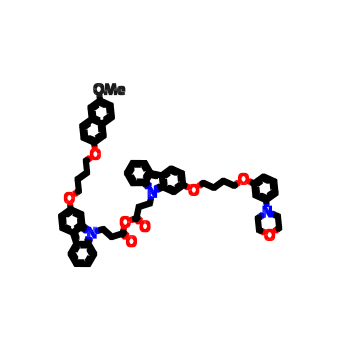 COc1ccc2cc(OCCCCOc3ccc4c5ccccc5n(CCC(=O)OC(=O)CCn5c6ccccc6c6ccc(OCCCCOc7cccc(N8CCOCC8)c7)cc65)c4c3)ccc2c1